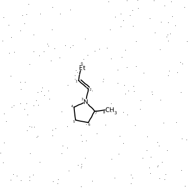 CCC=CN1CCCC1C